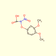 COc1ccc(ON(C(=O)O)[N+](=O)[O-])cc1OC